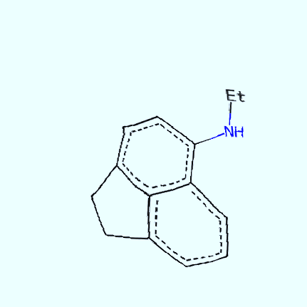 CCNc1ccc2c3c(cccc13)CC2